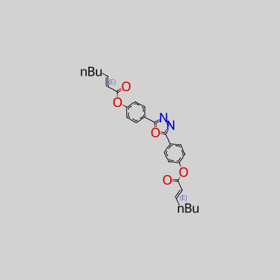 CCCC/C=C/C(=O)Oc1ccc(-c2nnc(-c3ccc(OC(=O)/C=C/CCCC)cc3)o2)cc1